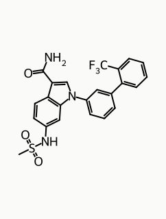 CS(=O)(=O)Nc1ccc2c(C(N)=O)cn(-c3cccc(-c4ccccc4C(F)(F)F)c3)c2c1